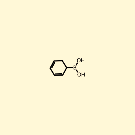 OB(O)C1C=CC=CC1